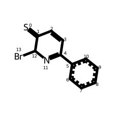 S=C1C=CC(c2ccccc2)=NC1Br